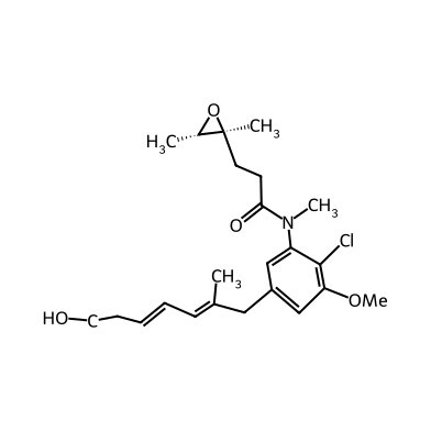 COc1cc(C/C(C)=C/C=C/CCO)cc(N(C)C(=O)CC[C@]2(C)O[C@H]2C)c1Cl